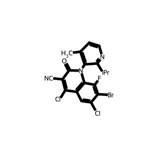 Cc1ccnc(C(C)C)c1-n1c(=O)c(C#N)c(Cl)c2cc(Cl)c(Br)c(F)c21